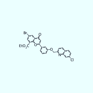 CCOC(=O)c1cc(Br)cc2c(=O)cc(-c3cccc(OCc4ccc5ccc(Cl)cc5n4)c3)oc12